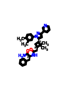 Cc1ccc(-n2nc(-c3cccnc3)cc2[C@H]2C[C@H](CC(=O)N[C@@H](Cc3ccccc3)C(N)=O)C2(C)C)cc1C